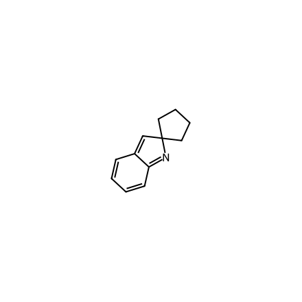 C1=c2ccccc2=NC12CCCC2